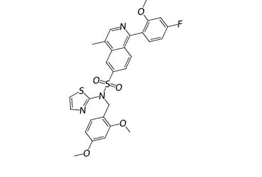 COc1ccc(CN(c2nccs2)S(=O)(=O)c2ccc3c(-c4ccc(F)cc4OC)ncc(C)c3c2)c(OC)c1